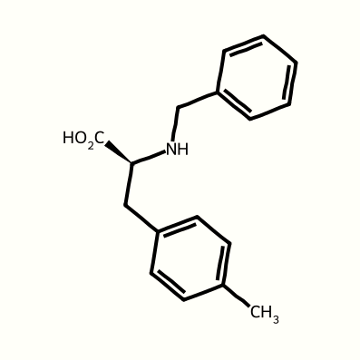 Cc1ccc(C[C@H](NCc2ccccc2)C(=O)O)cc1